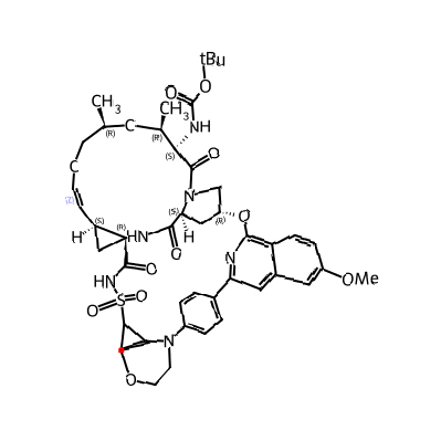 COc1ccc2c(O[C@@H]3C[C@H]4C(=O)N[C@]5(C(=O)NS(=O)(=O)C6CC6)C[C@H]5/C=C\CC[C@@H](C)C[C@@H](C)[C@H](NC(=O)OC(C)(C)C)C(=O)N4C3)nc(-c3ccc(N4CCOCC4)cc3)cc2c1